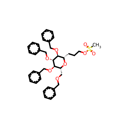 CS(=O)(=O)OCCC[C@@H]1O[C@H](COCc2ccccc2)[C@@H](OCc2ccccc2)[C@H](OCc2ccccc2)[C@H]1OCc1ccccc1